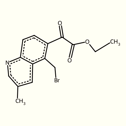 CCOC(=O)C(=O)c1ccc2ncc(C)cc2c1CBr